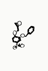 O=[N+]([O-])c1ccc(OCC2CO2)c(OCc2ccccc2)c1